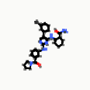 N#Cc1cccc(-c2cnc(Nc3cccc(C(=O)N4CCCC4)c3)nc2NC2CCCCC2C(N)=O)c1